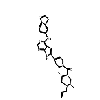 C=CCN1C[C@H](C)N(C(=O)N2CC=C(c3cc4c(Nc5ccc6ncsc6c5)ncnc4[nH]3)CC2)C[C@H]1C